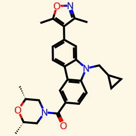 Cc1noc(C)c1-c1ccc2c3cc(C(=O)N4C[C@@H](C)O[C@@H](C)C4)ccc3n(CC3CC3)c2c1